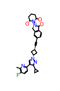 Cc1nc(-c2cn([C@H]3C[C@H](C#Cc4ccc5c(c4)CN(N4C(=O)CCCC4=O)C5=O)C3)nc2C2CC2)ccc1F